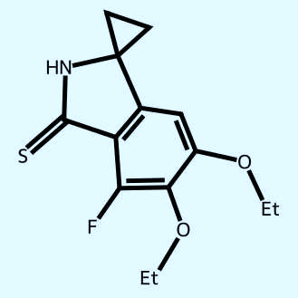 CCOc1cc2c(c(F)c1OCC)C(=S)NC21CC1